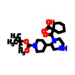 CC(C)(C)OC(=O)N1CCC(C2CNCCN2C(=O)C2(C(=O)O)CCCCC2)CC1